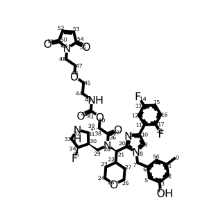 Cc1cc(O)cc(Cn2cc(-c3cc(F)ccc3F)nc2[C@@H](C2CCOCC2)N(C[C@@H]2CNC[C@@H]2F)C(=O)[C@H](C)OC(=O)NCCOCCN2C(=O)C=CC2=O)c1